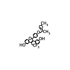 CC1CCN(C(C)COc2ccc(C3Oc4ccc(O)cc4C(CC(F)(F)F)=C3c3cccc(O)c3)cc2)C1